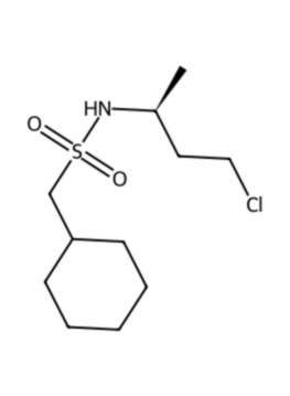 C[C@@H](CCCl)NS(=O)(=O)CC1CCCCC1